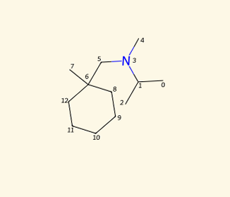 CC(C)N(C)CC1(C)CCCCC1